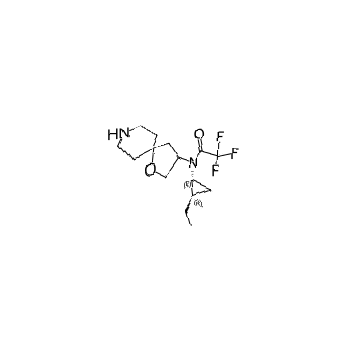 CC[C@@H]1C[C@H]1N(C(=O)C(F)(F)F)C1COC2(CCNCC2)C1